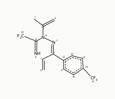 C=C/C(=N\N(C(=C)C)C(=N)C(F)(F)F)c1ccc(C(F)(F)F)cc1